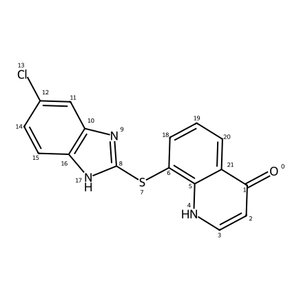 O=c1cc[nH]c2c(Sc3nc4cc(Cl)ccc4[nH]3)cccc12